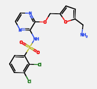 NCc1ccc(COc2nccnc2NS(=O)(=O)c2cccc(Cl)c2Cl)o1